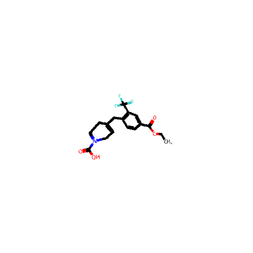 CCOC(=O)c1ccc(CC2=CCN(C(=O)O)CC2)c(C(F)(F)F)c1